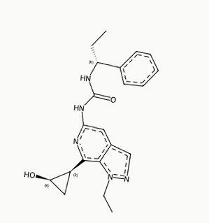 CC[C@@H](NC(=O)Nc1cc2cnn(CC)c2c([C@H]2C[C@H]2O)n1)c1ccccc1